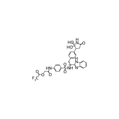 O=C(COC(=O)C(F)(F)F)Nc1ccc(S(=O)(=O)N[C@@H](Cc2ccc(C3CC(=O)NS3(O)O)cc2)c2nc3ccccc3[nH]2)cc1